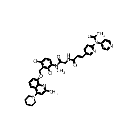 CC(=O)N(c1ccncc1)c1ccc(C=CC(=O)NCC(=O)N(C)c2ccc(Cl)c(COc3cccc4c(N5CCCCC5)cc(C)nc34)c2Cl)cn1